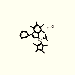 CC1=C(C)C(C)[C]([Zr+2]([CH]2C=C(c3ccccc3)c3c(C)c(C)c(C)c(C)c32)=[Si](C)C)=C1C.[Cl-].[Cl-]